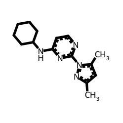 Cc1cc(C)n(-c2nccc(NC3CCCCC3)n2)n1